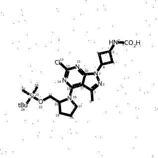 Cc1nn(C2CC(NC(=O)O)C2)c2nc(Cl)nc(N3CCCC3CO[Si](C)(C)C(C)(C)C)c12